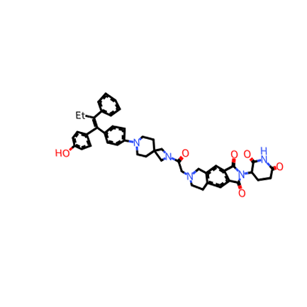 CCC(=C(c1ccc(O)cc1)c1ccc(N2CCC3(CC2)CN(C(=O)CN2CCc4cc5c(cc4C2)C(=O)N(C2CCC(=O)NC2=O)C5=O)C3)cc1)c1ccccc1